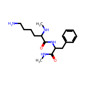 CNC(=O)C(Cc1ccccc1)NC(=O)C(CCCCN)NC